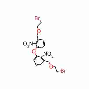 O=[N+]([O-])c1c(COCCBr)cccc1Oc1cccc(COCCBr)c1[N+](=O)[O-]